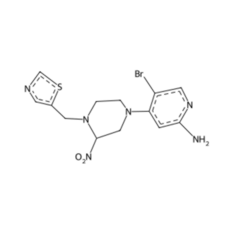 Nc1cc(N2CCN(Cc3cncs3)C([N+](=O)[O-])C2)c(Br)cn1